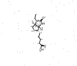 CCN1C(=O)N[C@@H]2[C@H](CCCCC(=O)O)SC[C@@H]21